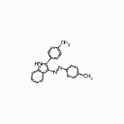 Cc1ccc(N=Nc2c(-c3ccc(C)cc3)[nH]c3ccccc23)cc1